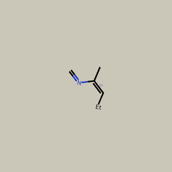 C=N/C(C)=C\CC